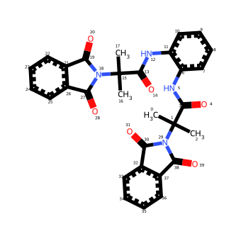 CC(C)(C(=O)Nc1ccccc1NC(=O)C(C)(C)N1C(=O)c2ccccc2C1=O)N1C(=O)c2ccccc2C1=O